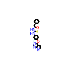 Cn1ccc2c(Oc3ccc(NC(=S)NC(=O)Cc4ccccc4)cc3F)ncnc21